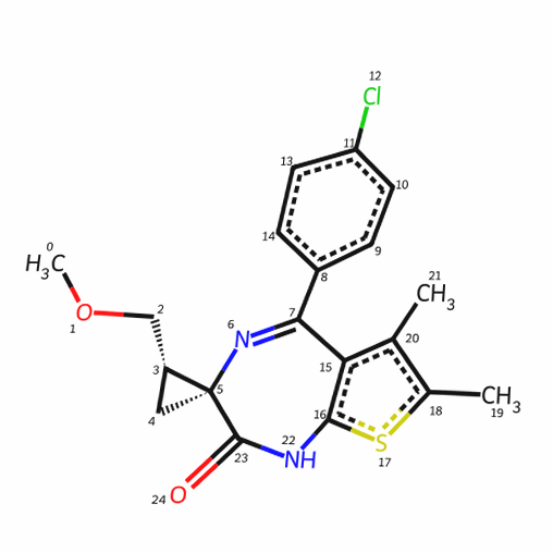 COC[C@H]1C[C@@]12N=C(c1ccc(Cl)cc1)c1c(sc(C)c1C)NC2=O